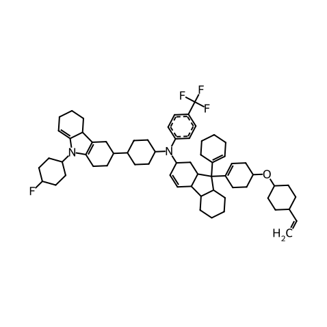 C=CC1CCC(OC2CC=C(C3(C4=CCCCC4)C4CC(N(c5ccc(C(F)(F)F)cc5)C5CCC(C6CCC7=C(C6)C6CCCC=C6N7C6CCC(F)CC6)CC5)C=CC4C4CCCCC43)CC2)CC1